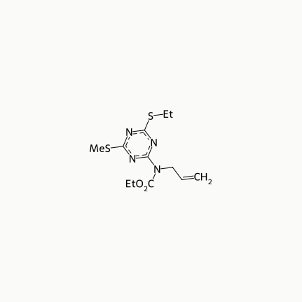 C=CCN(C(=O)OCC)c1nc(SC)nc(SCC)n1